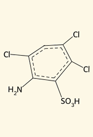 Nc1c(Cl)cc(Cl)c(Cl)c1S(=O)(=O)O